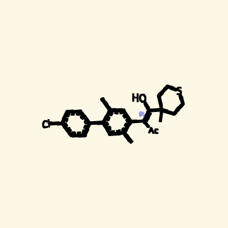 CC(=O)/C(=C(/O)C1(C)CCSCC1)c1cc(C)c(-c2ccc(Cl)cc2)cc1C